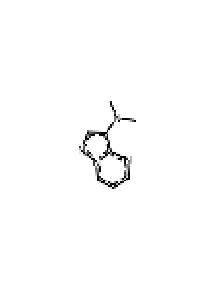 CN(C)c1cnn2cccnc12